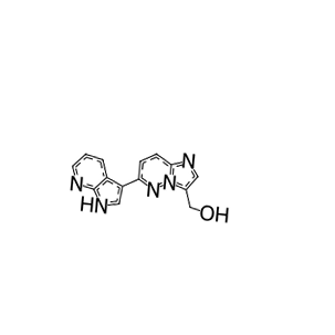 OCc1cnc2ccc(-c3c[nH]c4ncccc34)nn12